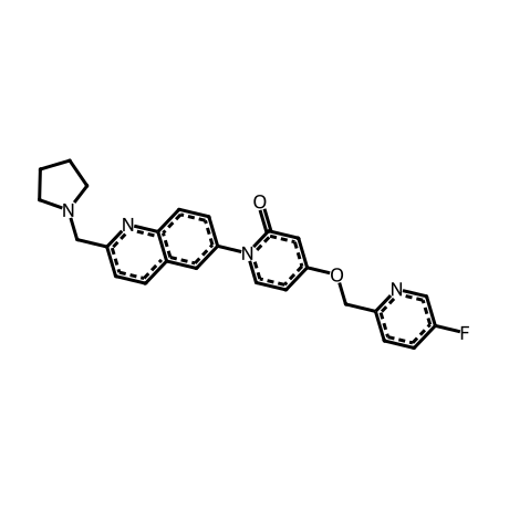 O=c1cc(OCc2ccc(F)cn2)ccn1-c1ccc2nc(CN3CCCC3)ccc2c1